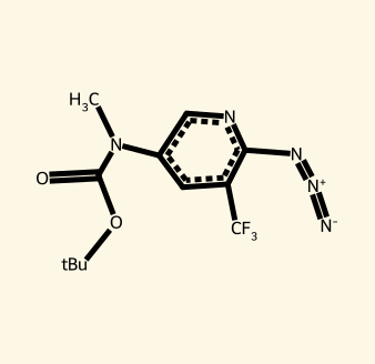 CN(C(=O)OC(C)(C)C)c1cnc(N=[N+]=[N-])c(C(F)(F)F)c1